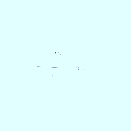 COC(C)(C)C.[NaH]